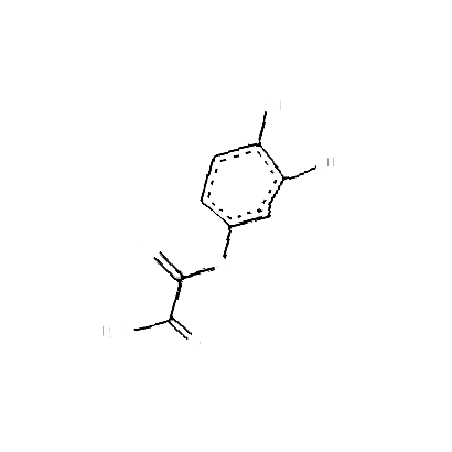 CC(=O)C(=O)Oc1ccc(C)c(C)c1